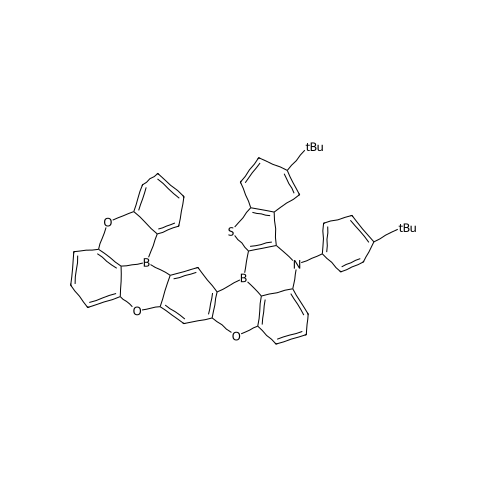 CC(C)(C)c1ccc(N2c3cccc4c3B(c3cc5c(cc3O4)Oc3cccc4c3B5c3ccccc3O4)c3sc4ccc(C(C)(C)C)cc4c32)cc1